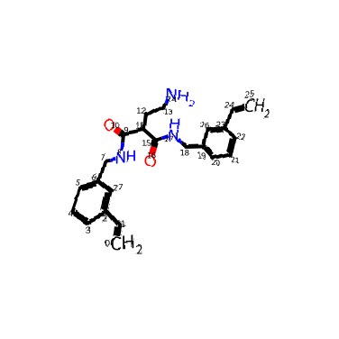 C=Cc1cccc(CNC(=O)C(CCN)C(=O)NCc2cccc(C=C)c2)c1